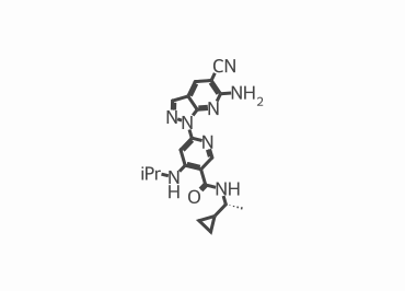 CC(C)Nc1cc(-n2ncc3cc(C#N)c(N)nc32)ncc1C(=O)N[C@H](C)C1CC1